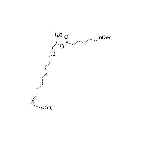 CCCCCCCC/C=C\CCCCCCCCOCC(CO)OC(=O)CCCCCCCCCCCCCCC